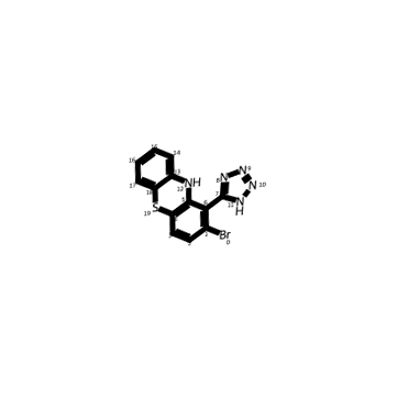 Brc1ccc2c(c1-c1nnn[nH]1)Nc1ccccc1S2